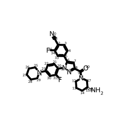 N#Cc1ccc(-c2cc(C(=O)N3CCC[C@@H](N)C3)nn2-c2ccc(N3CCCCC3)cc2F)cc1F